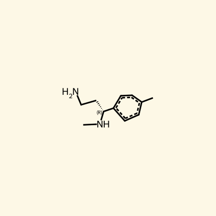 CN[C@H](CCN)c1ccc(C)cc1